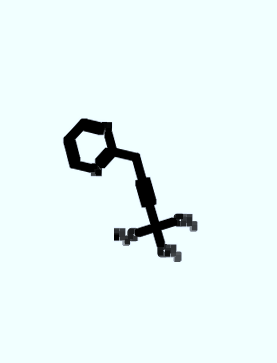 CC(C)(C)C#CCc1ncccn1